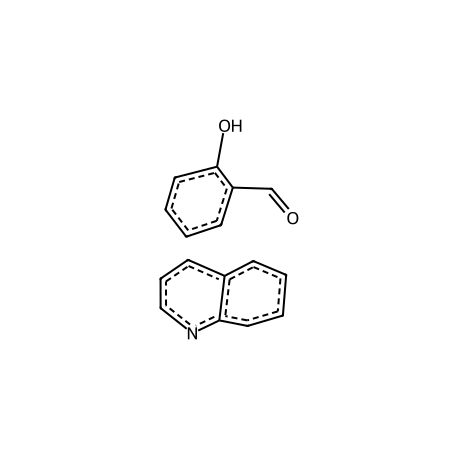 O=Cc1ccccc1O.c1ccc2ncccc2c1